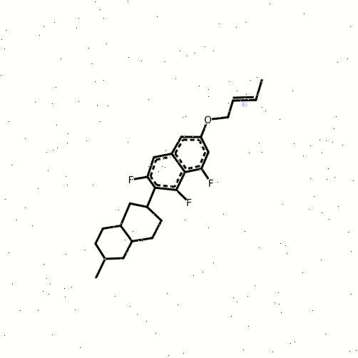 C/C=C/COc1cc(F)c2c(F)c(C3CCC4CC(C)CCC4C3)c(F)cc2c1